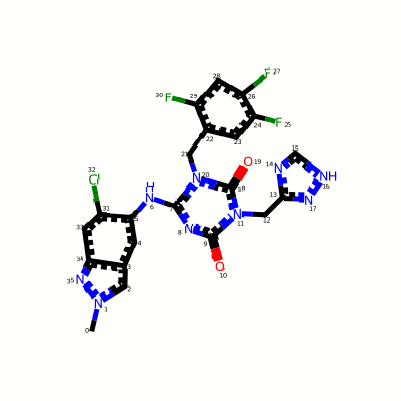 Cn1cc2cc(Nc3nc(=O)n(Cc4nc[nH]n4)c(=O)n3Cc3cc(F)c(F)cc3F)c(Cl)cc2n1